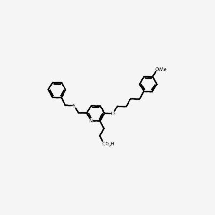 COc1ccc(CCCCOc2ccc(CSCc3ccccc3)nc2CCC(=O)O)cc1